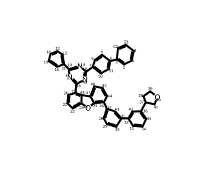 c1ccc(-c2ccc(-c3nc(-c4ccccc4)nc(-c4cccc5oc6c(-c7cccc(-c8cccc(C9CCOC9)c8)c7)cccc6c45)n3)cc2)cc1